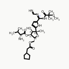 COC(C)(C)C(=O)N/C(=N/C=N)c1ccc([C@]2(C)O[C@H](COC(=O)CC3CCCC3)[C@@H](OC(=O)[C@H](N)C(C)C)[C@H]2O)[nH]1